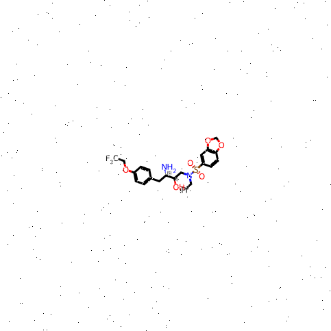 CC(C)CN(C[C@@H](O)[C@@H](N)Cc1ccc(OCC(F)(F)F)cc1)S(=O)(=O)c1ccc2c(c1)OCO2